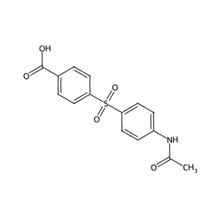 CC(=O)Nc1ccc(S(=O)(=O)c2ccc(C(=O)O)cc2)cc1